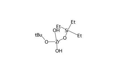 CC[Si](CC)(CC)[O][Zr]([OH])([OH])[O]C(C)(C)C